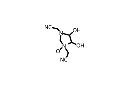 N#CCN1C[N+]([O-])(CC#N)C(O)C1O